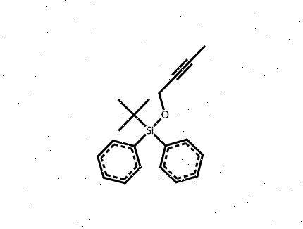 CC#CCO[Si](c1ccccc1)(c1ccccc1)C(C)(C)C